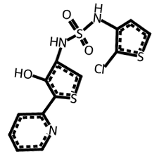 O=S(=O)(Nc1ccsc1Cl)Nc1csc(-c2ccccn2)c1O